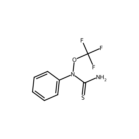 NC(=S)N(OC(F)(F)F)c1ccccc1